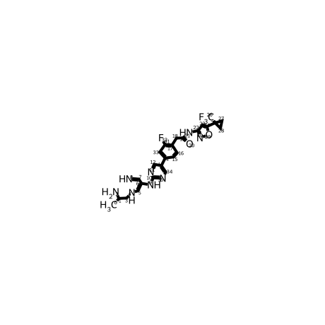 CC(N)CN/C=C(\C=N)Nc1ncc(-c2ccc(CC(=O)Nc3cc(C4(C(F)(F)F)CC4)on3)c(F)c2)cn1